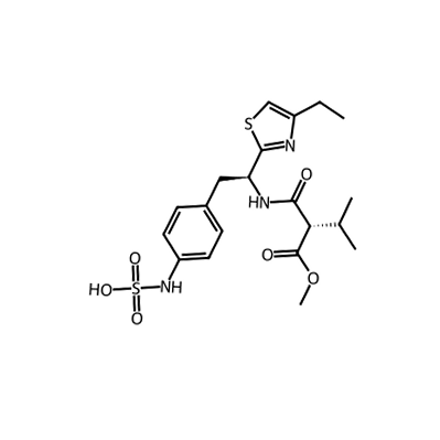 CCc1csc([C@H](Cc2ccc(NS(=O)(=O)O)cc2)NC(=O)[C@@H](C(=O)OC)C(C)C)n1